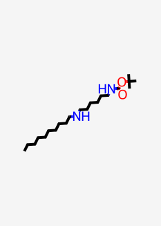 CCCCCCCCCCNCCCCCCNC(=O)OC(C)(C)C